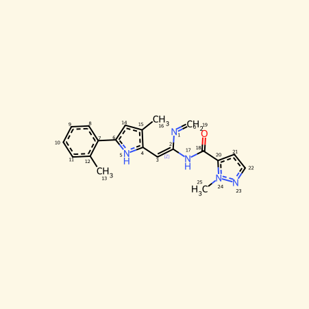 C=N/C(=C\c1[nH]c(-c2ccccc2C)cc1C)NC(=O)c1ccnn1C